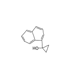 OC1(c2cccc3ccccc23)CC1